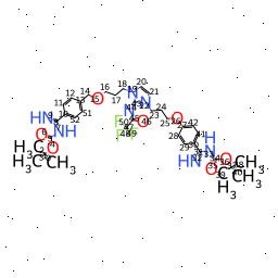 CC(C)(C)OC(=O)NC(=N)c1ccc(COCCCn2ccn(CCCOc3ccc(C(=N)NC(=O)OC(C)(C)C)cc3)/c2=N\C(=O)C(F)(F)F)cc1